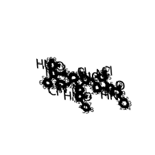 Cc1cc(-c2cc3c(=O)cc(C4CCCCC4)[nH]c3nc2-c2cccc(Cc3cc(-c4cc5c(=O)c(C6CCCC6)c[nH]c5nc4-c4ccccc4Cc4cc(-c5c(-c6ccccc6)nc6[nH]ccc(=O)c6c5C5CC5)cc(Cl)n4)cc(Cl)n3)c2)cc(Cl)n1